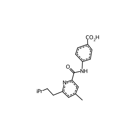 Cc1cc(CCC(C)C)nc(C(=O)Nc2ccc(C(=O)O)cc2)c1